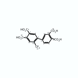 O=C(O)c1ccc(-c2cc(C(=O)O)c(C(=O)O)cc2C(F)(F)F)cc1C(=O)O